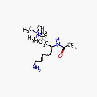 C[N+](C)(C)C.NCCCC[C@H](NC(=O)C(F)(F)F)C(=O)O